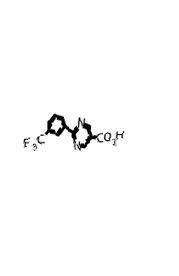 O=C(O)c1cnc(-c2cccc(C(F)(F)F)c2)nc1